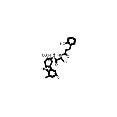 CCC(C)C(NC(=O)CCc1ccccc1O)C(=O)N[C@@]1(C(=O)O)CCc2[nH]c3c(Cl)cc(Cl)cc3c2C1